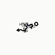 Cc1nc(/C(N)=C(\Cc2noc(CCC3CCC3)n2)N(C)N)ccc1OC1CCCCC1